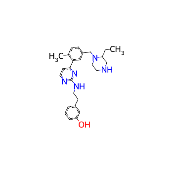 CCC1CNCCN1Cc1ccc(C)c(-c2ccnc(NCCc3cccc(O)c3)n2)c1